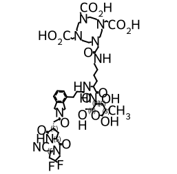 C[C@@H]1C(O)O[C@@H](CO)[C@H](NC(=O)C(CCCCNC(=O)CN2CCN(CC(=O)O)CCN(CC(=O)O)CCN(CC(=O)O)CC2)NC(=O)CCc2cccc3c2CN(C(=O)C[C@@H]2C[C@@H](C(=O)N4CC(F)(F)C[C@H]4C#N)NC2=O)C3)[C@H]1O